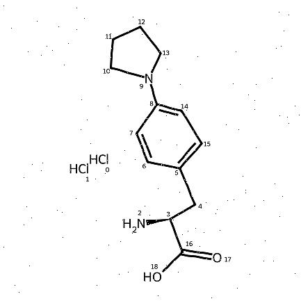 Cl.Cl.N[C@@H](Cc1ccc(N2CCCC2)cc1)C(=O)O